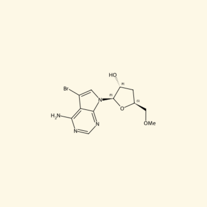 COC[C@@H]1C[C@@H](O)[C@H](n2cc(Br)c3c(N)ncnc32)O1